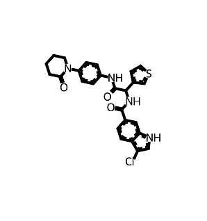 O=C(NC(C(=O)Nc1ccc(N2CCCCC2=O)cc1)c1ccsc1)c1ccc2c(Cl)c[nH]c2c1